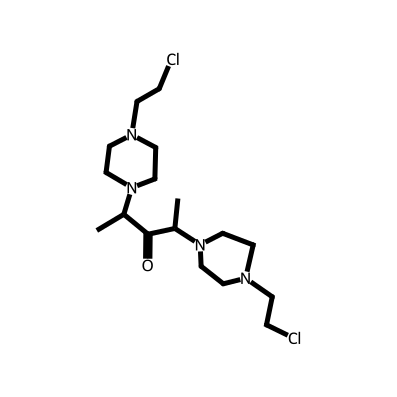 CC(C(=O)C(C)N1CCN(CCCl)CC1)N1CCN(CCCl)CC1